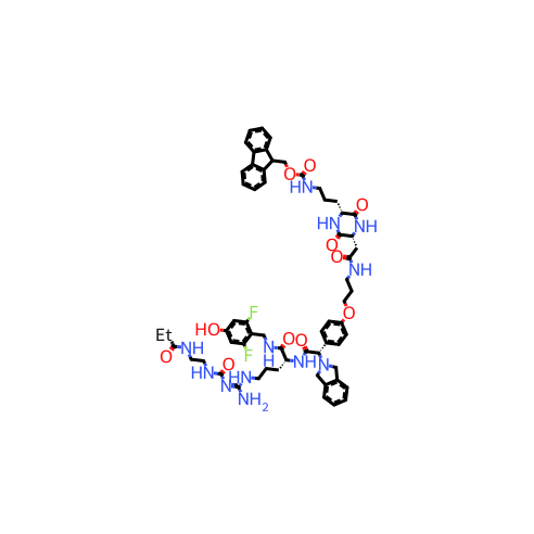 CCC(=O)NCCNC(=O)/N=C(/N)NCCC[C@@H](NC(=O)[C@H](c1ccc(OCCCNC(=O)C[C@H]2NC(=O)[C@@H](CCCNC(=O)OCC3c4ccccc4-c4ccccc43)NC2=O)cc1)N1Cc2ccccc2C1)C(=O)NCc1c(F)cc(O)cc1F